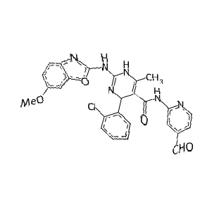 COc1ccc2nc(NC3=NC(c4ccccc4Cl)C(C(=O)Nc4cc(C=O)ccn4)=C(C)N3)oc2c1